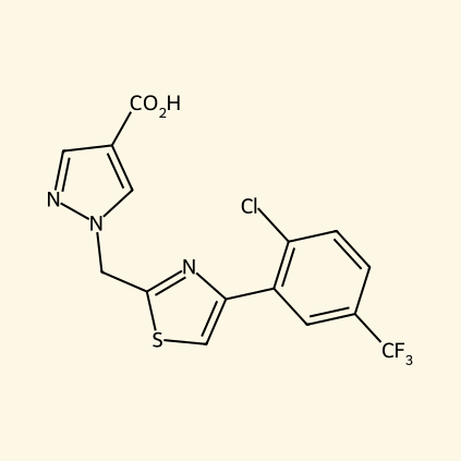 O=C(O)c1cnn(Cc2nc(-c3cc(C(F)(F)F)ccc3Cl)cs2)c1